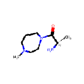 C[C@H](N)C(=O)N1CCCN(C)CC1